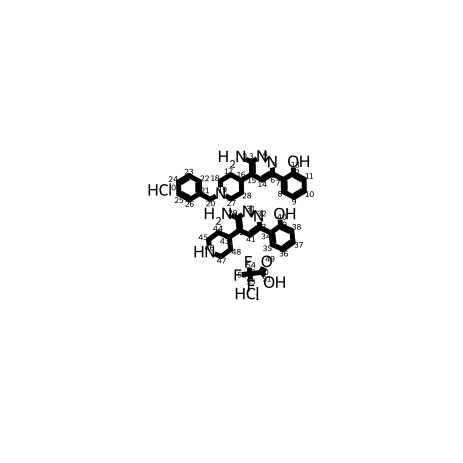 Cl.Cl.Nc1nnc(-c2ccccc2O)cc1C1CCN(Cc2ccccc2)CC1.Nc1nnc(-c2ccccc2O)cc1C1CCNCC1.O=C(O)C(F)(F)F